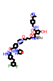 Cc1ncsc1-c1ccc(CNC(=O)[C@@H]2C[C@@H](O)CC2C(=O)[C@@H](NC(=O)CCCC(=O)N2CCN(c3ccc(C(=O)Nc4n[nH]c5ccc(Cc6cc(F)cc(F)c6)cc45)c(NC4CCOCC4)c3)CC2)C(C)(C)C)cc1